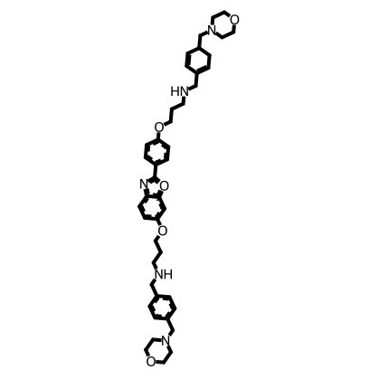 C1=CC(CN2CCOCC2)CC=C1CNCCCOc1ccc(-c2nc3ccc(OCCCNCc4ccc(CN5CCOCC5)cc4)cc3o2)cc1